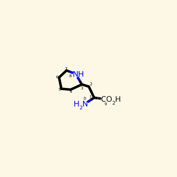 NC(CC1CCCCN1)C(=O)O